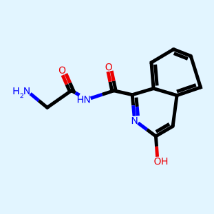 NCC(=O)NC(=O)c1nc(O)cc2ccccc12